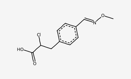 CO/N=C/c1ccc(CC(Cl)C(=O)O)cc1